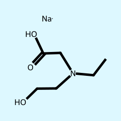 CCN(CCO)CC(=O)O.[Na]